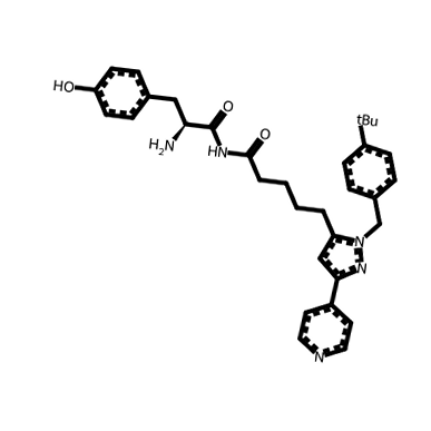 CC(C)(C)c1ccc(Cn2nc(-c3ccncc3)cc2CCCCC(=O)NC(=O)[C@@H](N)Cc2ccc(O)cc2)cc1